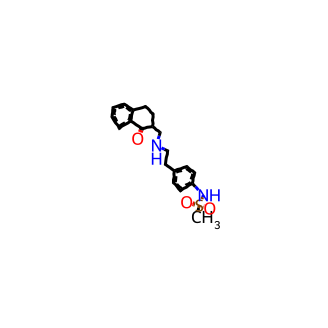 CS(=O)(=O)Nc1ccc(CCNCC2CCc3ccccc3C2=O)cc1